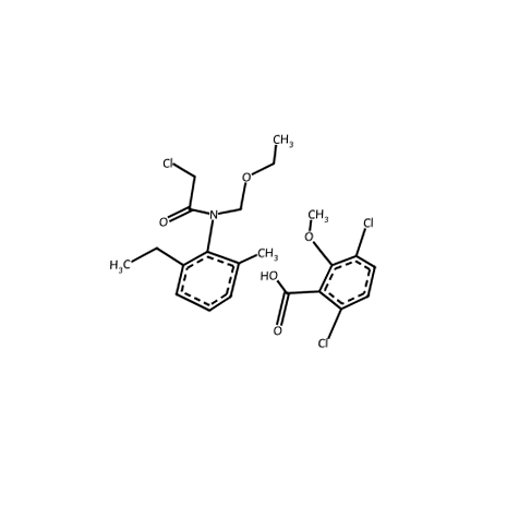 CCOCN(C(=O)CCl)c1c(C)cccc1CC.COc1c(Cl)ccc(Cl)c1C(=O)O